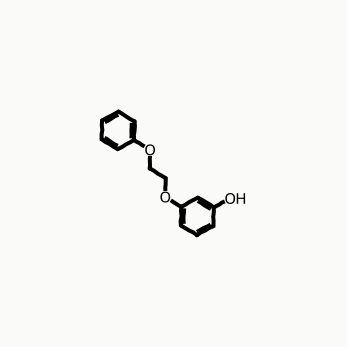 Oc1cccc(OCCOc2ccccc2)c1